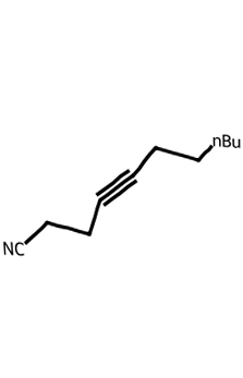 CCCCCCC#CCCC#N